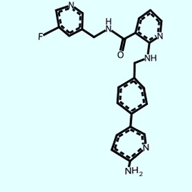 Nc1ccc(-c2ccc(CNc3ncccc3C(=O)NCc3cncc(F)c3)cc2)cn1